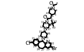 CC(=O)N1CCC(CC(=O)N2CCN(C3CCN(C4c5ccc(Cl)cc5CCc5cc(Br)cnc54)CC3)C[C@@H]2C(C)(C)C)CC1